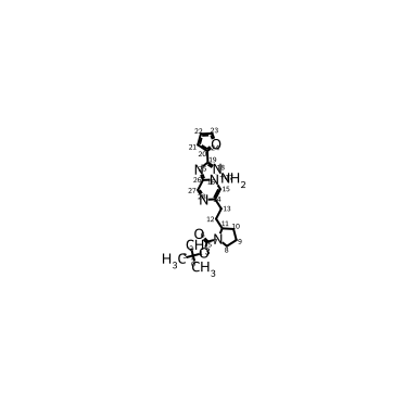 CC(C)(C)OC(=O)N1CCCC1CCC1=C[N+]2(N)N=C(c3ccco3)N=C2C=N1